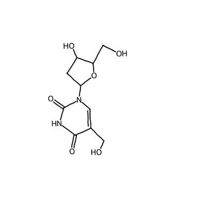 O=c1[nH]c(=O)n(C2CC(O)C(CO)O2)cc1CO